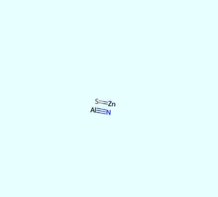 [N]#[Al].[S]=[Zn]